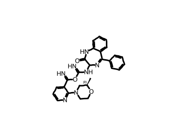 C[C@@H]1CN(c2ncccc2C(=N)OC(=N)NC2N=C(c3ccccc3)c3ccccc3NC2=O)CCO1